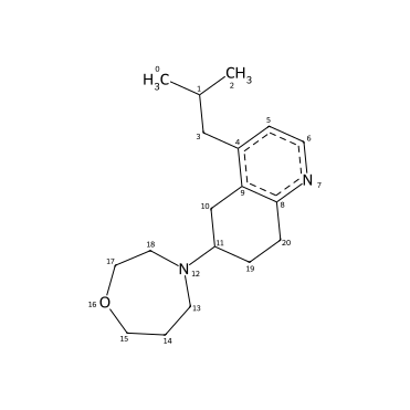 CC(C)Cc1ccnc2c1CC(N1CCCOCC1)CC2